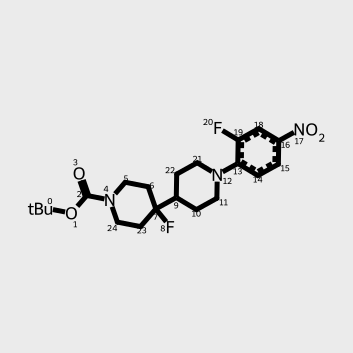 CC(C)(C)OC(=O)N1CCC(F)(C2CCN(c3ccc([N+](=O)[O-])cc3F)CC2)CC1